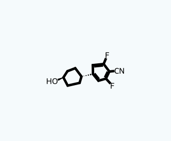 N#Cc1c(F)cc([C@H]2CC[C@H](O)CC2)cc1F